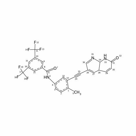 Cc1ccc(NC(=O)c2cc(C(F)(F)F)cc(C(F)(F)F)c2)cc1C#CC1=CC2C=CC(=O)NC2N=C1